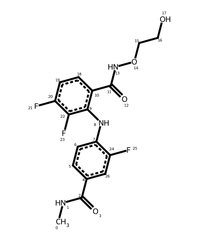 CNC(=O)c1ccc(Nc2c(C(=O)NOCCO)ccc(F)c2F)c(F)c1